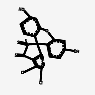 Oc1ccc2c(c1)Oc1cc(O)ccc1C21c2ccc(Cl)c(Cl)c2C(=S)S1(=S)=S